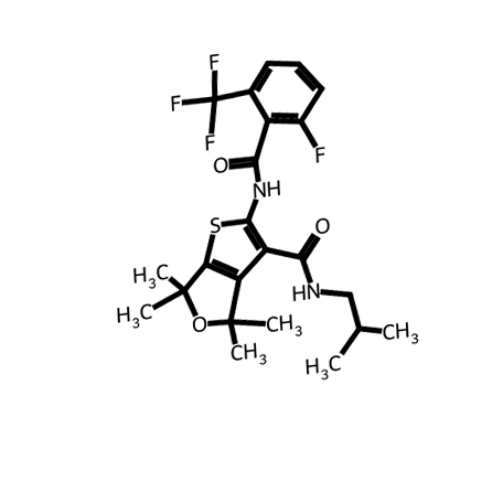 CC(C)CNC(=O)c1c(NC(=O)c2c(F)cccc2C(F)(F)F)sc2c1C(C)(C)OC2(C)C